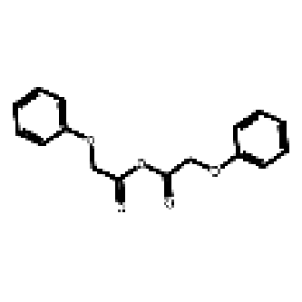 O=C(COc1ccccc1)OC(=O)COc1ccccc1